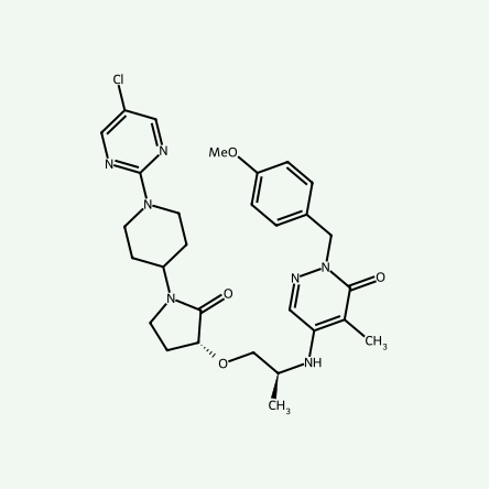 COc1ccc(Cn2ncc(N[C@@H](C)CO[C@@H]3CCN(C4CCN(c5ncc(Cl)cn5)CC4)C3=O)c(C)c2=O)cc1